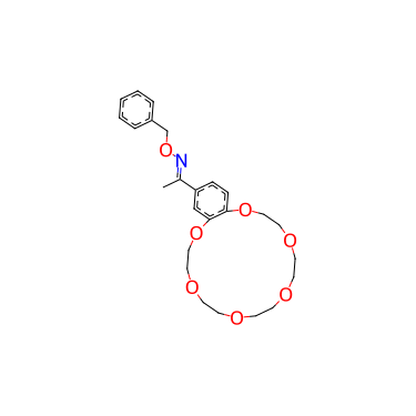 C/C(=N\OCc1ccccc1)c1ccc2c(c1)OCCOCCOCCOCCOCCO2